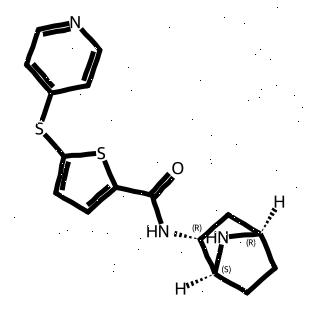 O=C(N[C@@H]1C[C@H]2CC[C@@H]1N2)c1ccc(Sc2ccncc2)s1